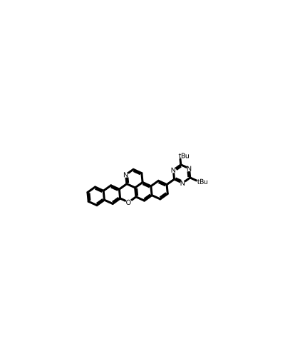 CC(C)(C)c1nc(-c2ccc3cc4c5c(nccc5c3c2)-c2cc3ccccc3cc2O4)nc(C(C)(C)C)n1